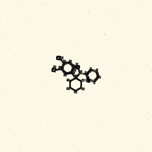 OC(c1ccccn1)C1(c2ccc(Cl)c(Cl)c2)CCCCC1